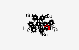 CC(C)(C)c1ccc(N2c3ccc(C(C)(C)C)cc3B3c4cc5c(cc4N(c4ccc(C(C)(C)C)cc4-c4ccccc4)c4cc(N6c7ccccc7C7(C)CCCCC67C)cc2c43)C(C)(C)c2ccccc2-5)cc1